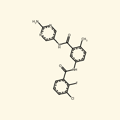 Cc1ccc(NC(=O)c2cccc(Cl)c2F)cc1C(=O)Nc1cnc(N)nc1